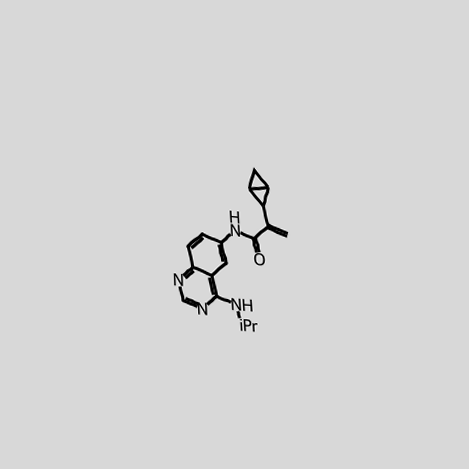 C=C(C(=O)Nc1ccc2ncnc(NC(C)C)c2c1)C1C2CC21